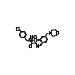 O=C(NCc1ccc(Cl)cc1)c1ncc2ccc(CN3CCOCC3)cc2c1O